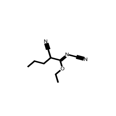 CCCC(C#N)/C(=N/C#N)OCC